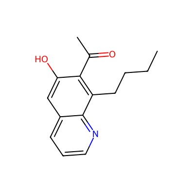 CCCCc1c(C(C)=O)c(O)cc2cccnc12